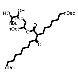 CCCCC(O)CO.CCCCCCCCCCCCCCCCCC(=O)C(CCCCCCCCCCCCCCCC)C(=O)OC(CCCCCCCC)CCCCCCCCCCC